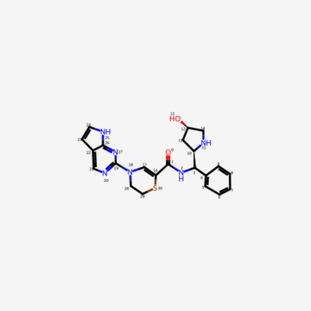 O=C(NC(c1ccccc1)[C@H]1C[C@@H](O)CN1)C1=CN(c2ncc3cc[nH]c3n2)CCS1